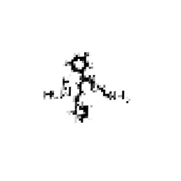 Cl.Cl.NCCON=C(CCCn1ccnc1)c1ccccc1